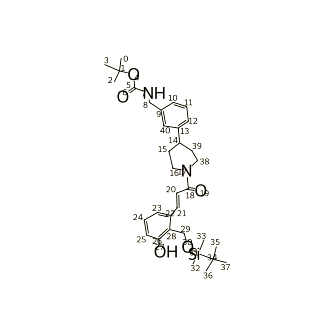 CC(C)(C)OC(=O)NCc1cccc(C2CCN(C(=O)C=Cc3cccc(O)c3CO[Si](C)(C)C(C)(C)C)CC2)c1